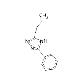 CCCc1nnc(-c2ccccc2)[nH]1